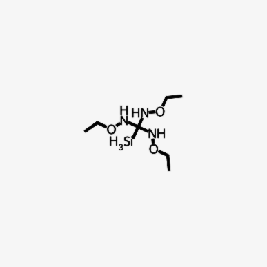 CCONC([SiH3])(NOCC)NOCC